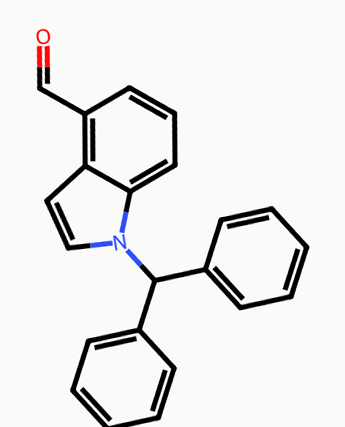 O=Cc1cccc2c1ccn2C(c1ccccc1)c1ccccc1